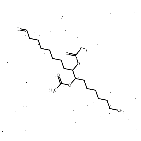 CCCCCCCC(OC(C)=O)C(CCCCCCCC=O)OC(C)=O